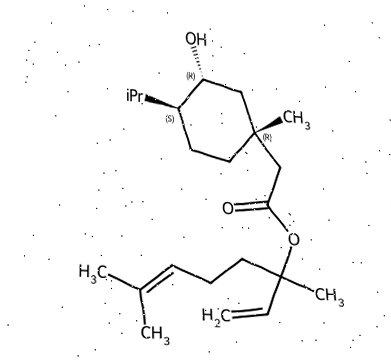 C=CC(C)(CCC=C(C)C)OC(=O)C[C@]1(C)CC[C@@H](C(C)C)[C@H](O)C1